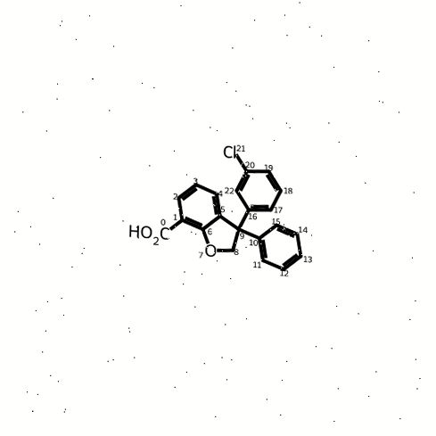 O=C(O)c1cccc2c1OCC2(c1ccccc1)c1cccc(Cl)c1